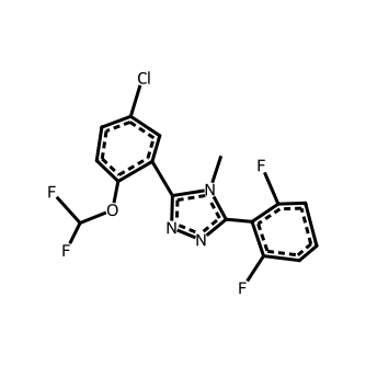 Cn1c(-c2cc(Cl)ccc2OC(F)F)nnc1-c1c(F)cccc1F